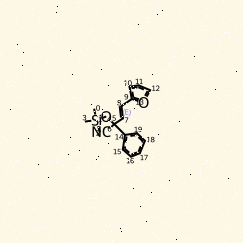 C[Si](C)(C)OC(C#N)(/C=C/c1ccco1)c1ccccc1